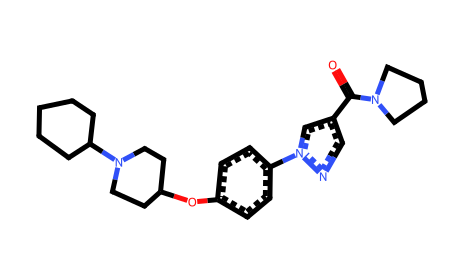 O=C(c1cnn(-c2ccc(OC3CCN(C4CCCCC4)CC3)cc2)c1)N1CCCC1